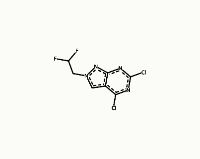 FC(F)Cn1cc2c(Cl)nc(Cl)nc2n1